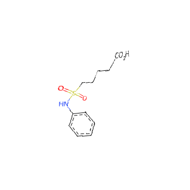 O=C(O)CCCCS(=O)(=O)Nc1ccccc1